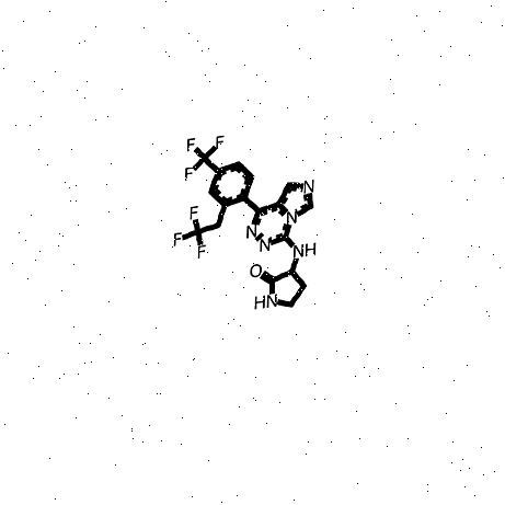 O=C1NCCC1Nc1nnc(-c2ccc(C(F)(F)F)cc2CC(F)(F)F)c2cncn12